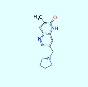 Cc1cc2ncc(CN3CCCC3)cc2[nH]c1=O